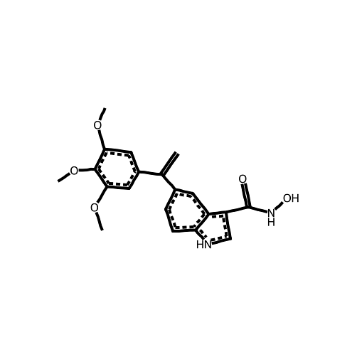 C=C(c1cc(OC)c(OC)c(OC)c1)c1ccc2[nH]cc(C(=O)NO)c2c1